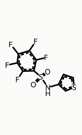 O=S(=O)(Nc1ccsc1)c1c(F)c(F)c(F)c(F)c1F